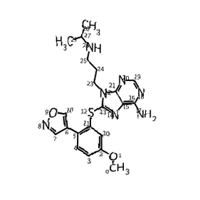 COc1ccc(-c2cnoc2)c(Sc2nc3c(N)ncnc3n2CCCNC(C)C)c1